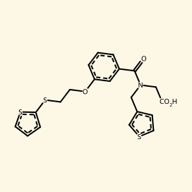 O=C(O)CN(Cc1ccsc1)C(=O)c1cccc(OCCSc2cccs2)c1